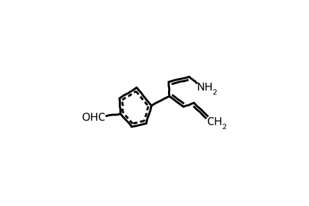 C=C/C=C(\C=C/N)c1ccc(C=O)cc1